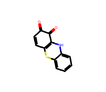 O=c1ccc2sc3ccccc3[nH]c=2c1=O